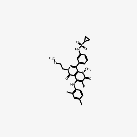 COCCn1nc(-c2cccc(NS(=O)(=O)C3CC3)c2)c2c(c(Nc3ccc(I)cc3F)c(F)c(=O)n2C)c1=O